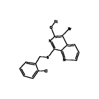 CCOc1nc(SCc2ccccc2Cl)c2ncccc2c1Br